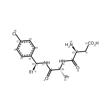 CC[C@H](NC(=O)[C@H](NC(=O)[C@@H](N)CC(=O)O)C(C)C)c1ccc(Cl)cc1